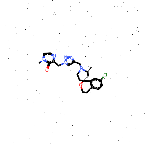 C[C@H]1C[C@@]2(CCN1Cc1cn(Cc3nccn(C)c3=O)nn1)OCCc1ccc(Cl)cc12